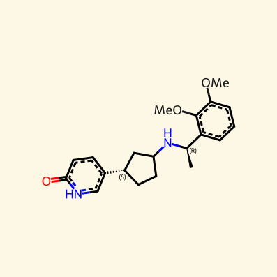 COc1cccc([C@@H](C)NC2CC[C@H](c3ccc(=O)[nH]c3)C2)c1OC